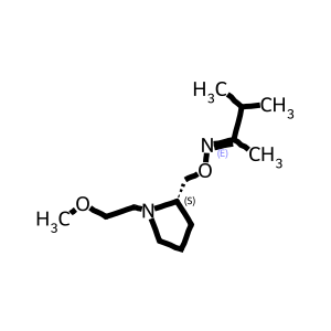 COCCN1CCC[C@H]1CO/N=C(\C)C(C)C